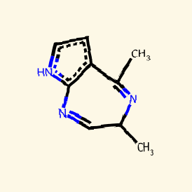 CC1=NC(C)C=Nc2[nH]ccc21